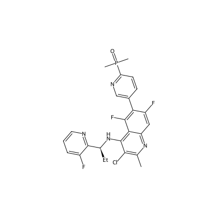 CC[C@H](Nc1c(Cl)c(C)nc2cc(F)c(-c3ccc(P(C)(C)=O)nc3)c(F)c12)c1ncccc1F